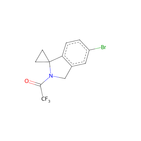 O=C(N1Cc2cc(Br)ccc2C12CC2)C(F)(F)F